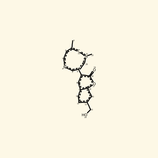 Cc1ccncc(-c2cc3ccc(CO)cc3oc2=O)cn(C)c1